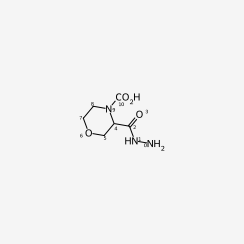 NNC(=O)C1COCCN1C(=O)O